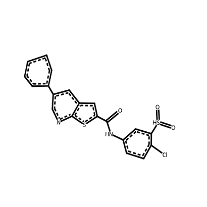 O=C(Nc1ccc(Cl)c([SH](=O)=O)c1)c1cc2cc(-c3ccccc3)cnc2s1